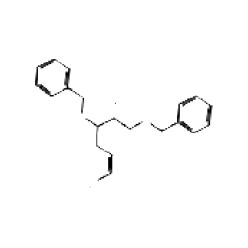 C/C=C\[C@H](O)C(OCc1ccccc1)[C@H](O)COCc1ccccc1